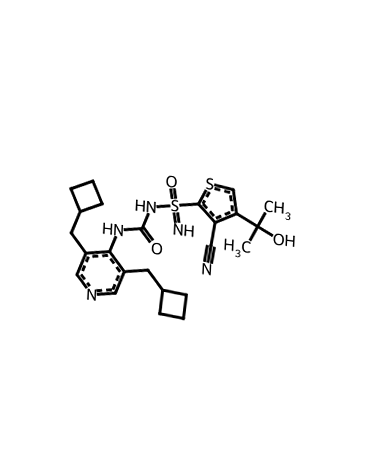 CC(C)(O)c1csc(S(=N)(=O)NC(=O)Nc2c(CC3CCC3)cncc2CC2CCC2)c1C#N